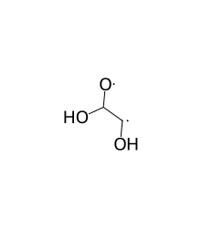 [O]C(O)[CH]O